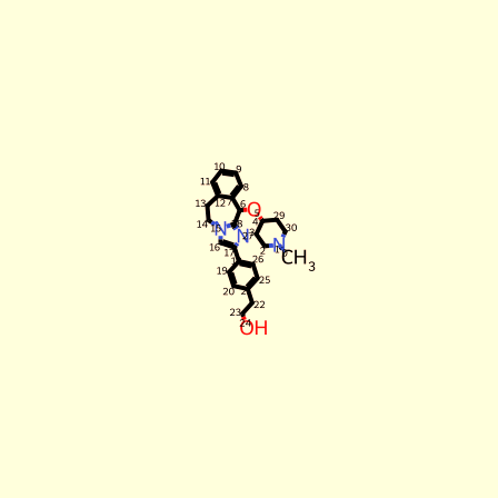 CN1CCC(OC2c3ccccc3CCn3cc(-c4ccc(CCO)cc4)nc32)CC1